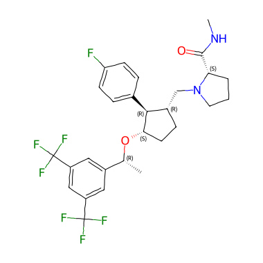 CNC(=O)[C@@H]1CCCN1C[C@@H]1CC[C@H](O[C@H](C)c2cc(C(F)(F)F)cc(C(F)(F)F)c2)[C@H]1c1ccc(F)cc1